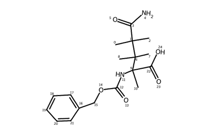 CC(C)(C(N)=O)C(C)(C)C(C)(NC(=O)OCc1ccccc1)C(=O)O